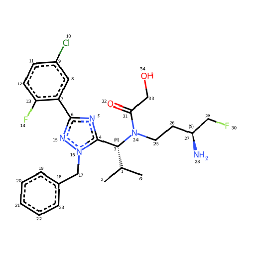 CC(C)[C@H](c1nc(-c2cc(Cl)ccc2F)nn1Cc1ccccc1)N(CC[C@H](N)CF)C(=O)CO